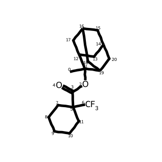 CC1(OC(=O)C2(C(F)(F)F)CCCCC2)C2CC3CC(C2)CC1C3